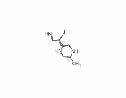 C[C@H]1CN/C(=C(/I)C=N)CN1